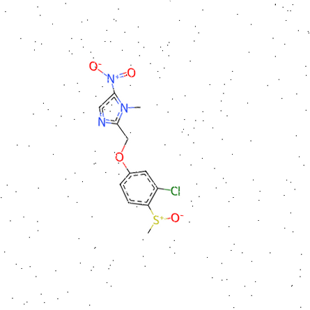 Cn1c([N+](=O)[O-])cnc1COc1ccc([S+](C)[O-])c(Cl)c1